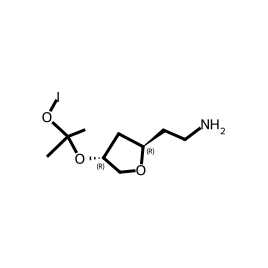 CC(C)(OI)O[C@H]1CO[C@H](CCN)C1